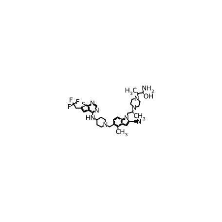 Cc1c(CN2CCC(Nc3ncnc4sc(CC(F)(F)F)cc34)CC2)ccc2c1cc(C#N)n2C[C@H](C)N1CCN(C(C)C(N)O)CC1